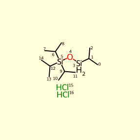 CC(C)[SiH2]O[Si](C(C)C)(C(C)C)C(C)C.Cl.Cl